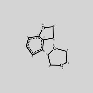 C1COCCO1.c1ccc2c(c1)CCO2